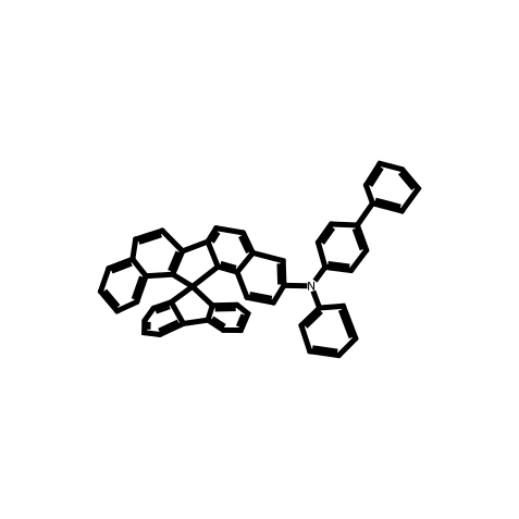 c1ccc(-c2ccc(N(c3ccccc3)c3ccc4c5c(ccc4c3)-c3ccc4ccccc4c3C53c4ccccc4-c4ccccc43)cc2)cc1